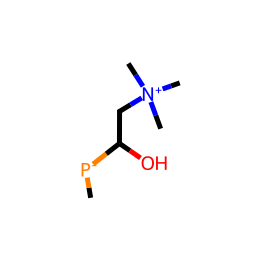 C[P-]C(O)C[N+](C)(C)C